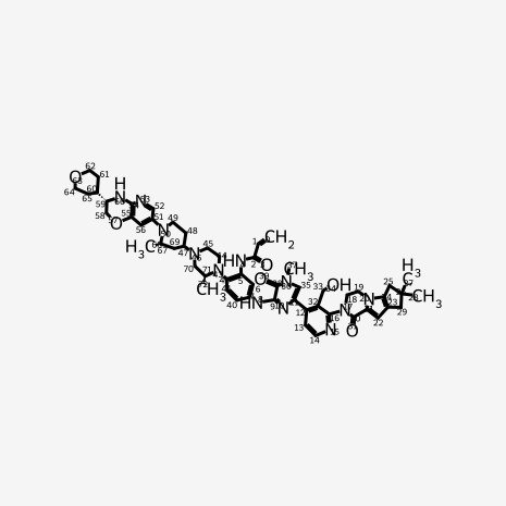 C=CC(=O)Nc1cc(Nc2nc(-c3ccnc(N4CCn5c(cc6c5CC(C)(C)C6)C4=O)c3CO)cn(C)c2=O)ccc1N1CCN(C2CCN(c3cnc4c(c3)OC[C@H](C3CCOCC3)N4)[C@H](C)C2)C[C@@H]1C